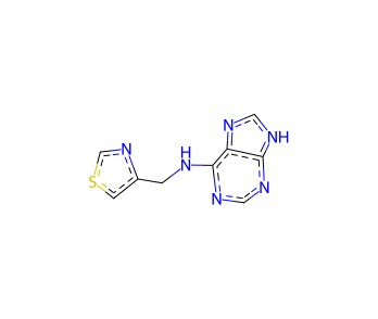 c1nc(NCc2cscn2)c2nc[nH]c2n1